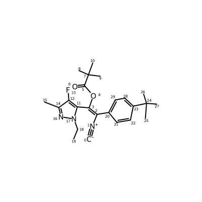 [C-]#[N+]C(=C(OC(=O)C(C)(C)C)c1c(F)c(C)nn1CC)c1ccc(C(C)(C)C)cc1